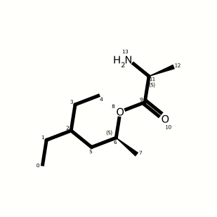 CCC(CC)C[C@H](C)OC(=O)[C@H](C)N